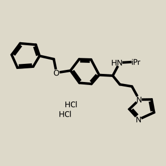 CC(C)NC(CCn1ccnc1)c1ccc(OCc2ccccc2)cc1.Cl.Cl